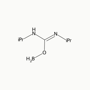 BO/C(=N\C(C)C)NC(C)C